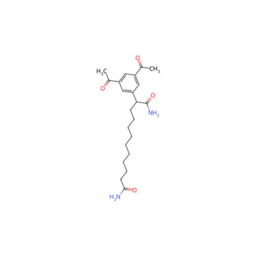 CC(=O)c1cc(C(C)=O)cc(C(CCCCCCCCCC(N)=O)C(N)=O)c1